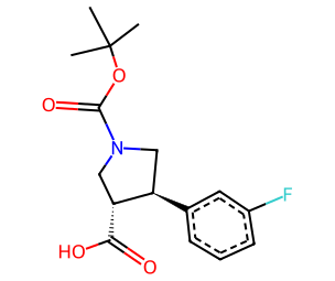 CC(C)(C)OC(=O)N1C[C@@H](C(=O)O)[C@H](c2cccc(F)c2)C1